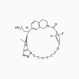 Cc1c2cnc3c1nnn3CCCCCCOc1cc(F)c(c(F)c1)C(=O)N1CCc3ccc(cc3C1)[C@@H]2CC(=O)O